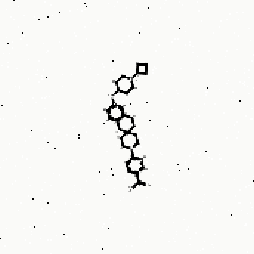 NC(=O)c1ccc(N2CCC3(CCc4cc(OC5CCN(C6CCC6)CC5)ccc4C3)CC2)nc1